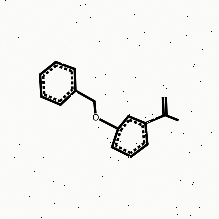 C=C(C)c1cccc(OCc2ccccc2)c1